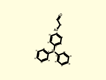 O=C[CH2][Au].c1ccc(P(c2ccccc2)c2ccccc2)cc1